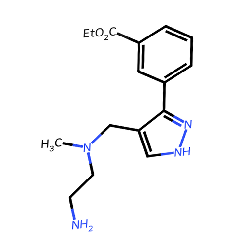 CCOC(=O)c1cccc(-c2n[nH]cc2CN(C)CCN)c1